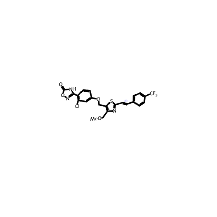 COCc1nc(/C=C/c2ccc(C(F)(F)F)cc2)sc1COc1ccc(-c2noc(=O)[nH]2)c(Cl)c1